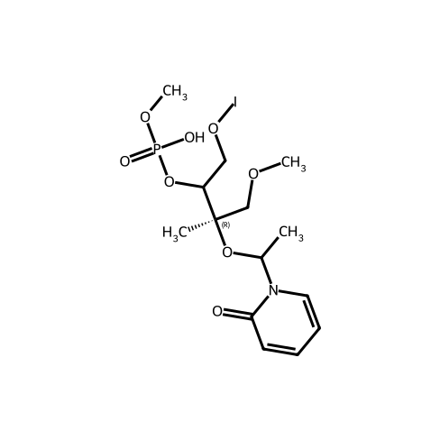 COC[C@@](C)(OC(C)n1ccccc1=O)C(COI)OP(=O)(O)OC